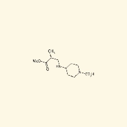 COC(=O)C(C)CNC1CCN(C(=O)O)CC1